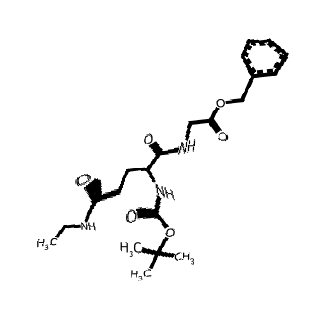 CCNC(=O)CCC(NC(=O)OC(C)(C)C)C(=O)NCC(=O)OCc1ccccc1